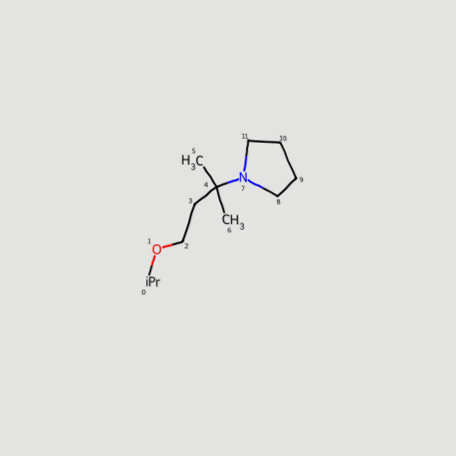 CC(C)OCCC(C)(C)N1CCCC1